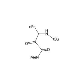 CCCC(NC(C)(C)C)C(=O)C(=O)NC